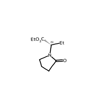 CCOC(=O)[C@H](CC)N1CCCC1=O